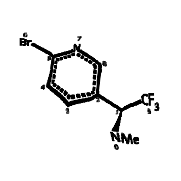 CN[C@@H](c1ccc(Br)nc1)C(F)(F)F